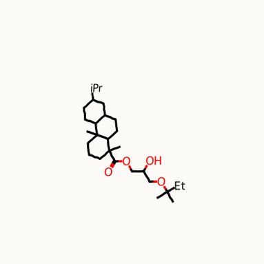 CCC(C)(C)OCC(O)COC(=O)C1(C)CCCC2(C)C3CCC(C(C)C)CC3CCC12